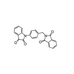 O=C1C(=O)N(c2ccc(CN3C(=O)c4ccccc4C3=O)cc2)c2ccccc21